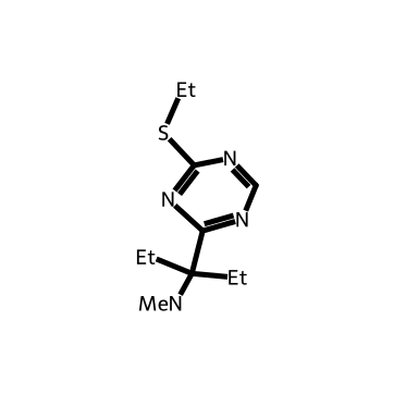 CCSc1ncnc(C(CC)(CC)NC)n1